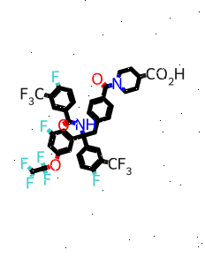 O=C(NC(Cc1ccc(C(=O)N2CCC(C(=O)O)CC2)cc1)(c1cc(F)cc(OC(F)(F)C(F)F)c1)c1ccc(F)c(C(F)(F)F)c1)c1ccc(F)c(C(F)(F)F)c1